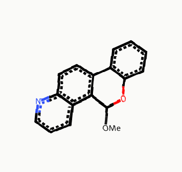 COC1Oc2ccccc2-c2ccc3ncccc3c21